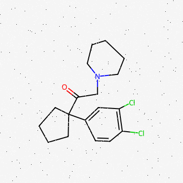 O=C(CN1CCCCC1)C1(c2ccc(Cl)c(Cl)c2)CCCC1